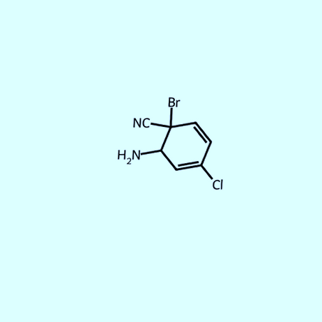 N#CC1(Br)C=CC(Cl)=CC1N